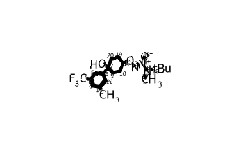 Cc1cc(C(F)(F)F)cc(C2(O)CCC(O/N=[N+](\[O-])N(C)C(C)(C)C)CC2)c1